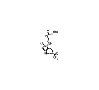 CC(C)(C)OC(=O)NCCNc1c(Cl)ccc2c1CCC(C(=O)C(F)(F)F)CN2